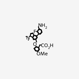 COc1ccc(OCc2cc(-c3cccc(CN)c3F)c3c(c2)C(N(C)C)C=C3)c(CC(=O)O)c1